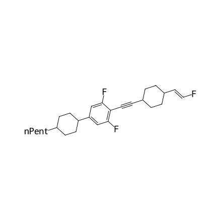 CCCCCC1CCC(c2cc(F)c(C#CC3CCC(C=CF)CC3)c(F)c2)CC1